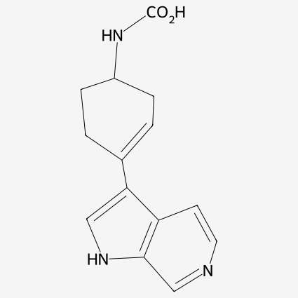 O=C(O)NC1CC=C(c2c[nH]c3cnccc23)CC1